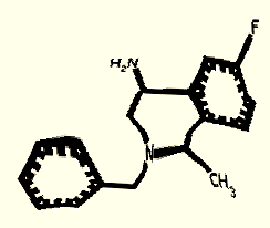 CC1c2ccc(F)cc2C(N)CN1Cc1ccccc1